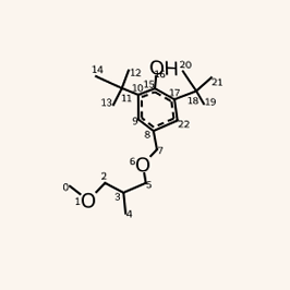 COCC(C)COCc1cc(C(C)(C)C)c(O)c(C(C)(C)C)c1